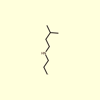 [CH2]CCNCCC(C)C